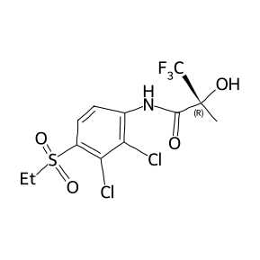 CCS(=O)(=O)c1ccc(NC(=O)[C@@](C)(O)C(F)(F)F)c(Cl)c1Cl